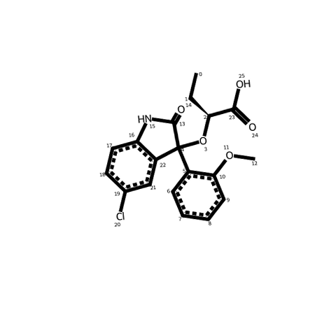 CC[C@H](OC1(c2ccccc2OC)C(=O)Nc2ccc(Cl)cc21)C(=O)O